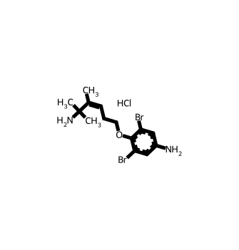 CC(=CCCOc1c(Br)cc(N)cc1Br)C(C)(C)N.Cl